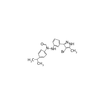 Cc1[nH]nc(-c2cccc(NN(C=O)c3ccc(C(C)C)cc3)c2)c1Br